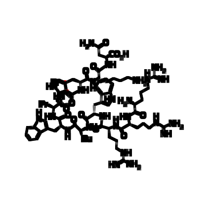 CC[C@H](C)[C@H](NC(=O)[C@H](Cc1c[nH]c2ccccc12)NC(=O)[C@H](CCCNC(=N)N)NC(=O)[C@H](CCCNC(=N)N)NC(=O)[C@@H](N)CCCNC(=N)N)C(=O)N[C@@H](Cc1c[nH]c2ccccc12)C(=O)N[C@H](C(=O)N[C@@H](CC(C)C)C(=O)N[C@@H](Cc1c[nH]c2ccccc12)C(=O)N[C@@H](CCCCN)C(=O)N[C@@H](CC(N)=O)C(=O)O)C(C)C